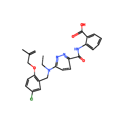 C=C(C)COc1ccc(Cl)cc1CN(CC)c1ccc(C(=O)Nc2ccccc2C(=O)O)nn1